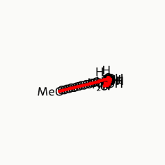 COCCOCCOCCOCCOCCOCCOCCOCCOCCOCCOCCOCCOCCOCCOCCOCCC(=O)NCCCCCCCNP(=O)(O)OP(=O)(O)OP(=O)(O)OP(=O)(O)OC[C@H]1O[C@@H](n2cnc3c(=O)[nH]c(N)nc32)CC1O